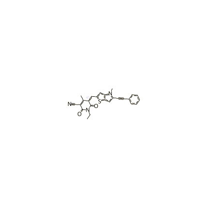 CCN1C(=O)C(C#N)=C(C)/C(=C/c2cc3c(cc(C#Cc4ccccc4)n3C)s2)C1=O